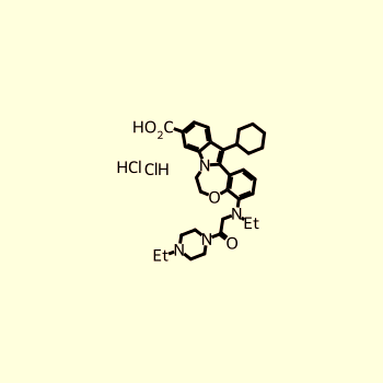 CCN1CCN(C(=O)CN(CC)c2cccc3c2OCCn2c-3c(C3CCCCC3)c3ccc(C(=O)O)cc32)CC1.Cl.Cl